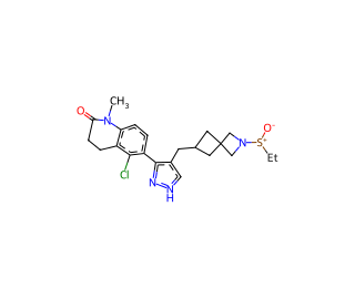 CC[S+]([O-])N1CC2(CC(Cc3c[nH]nc3-c3ccc4c(c3Cl)CCC(=O)N4C)C2)C1